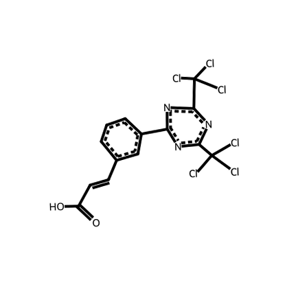 O=C(O)C=Cc1cccc(-c2nc(C(Cl)(Cl)Cl)nc(C(Cl)(Cl)Cl)n2)c1